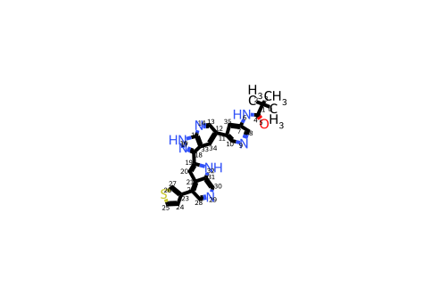 CC(C)(C)C(=O)Nc1cncc(-c2cnc3[nH]nc(-c4cc5c(-c6ccsc6)cncc5[nH]4)c3c2)c1